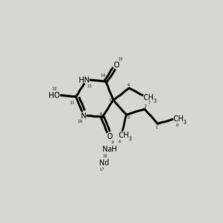 CCCC(C)C1(CC)C(=O)N=C(O)NC1=O.[NaH].[Nd]